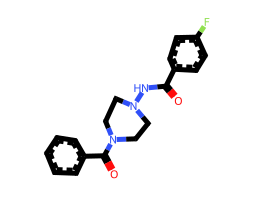 O=C(NN1CCN(C(=O)c2ccccc2)CC1)c1ccc(F)cc1